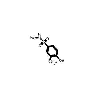 O=C(O)c1cc(S(=O)(=O)NO)ccc1O